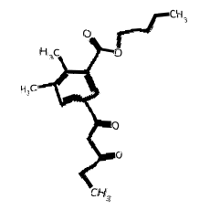 CCCCOC(=O)c1cc(C(=O)CC(=O)CC)cc(C)c1C